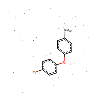 [CH2-][NH2+]c1ccc(Oc2ccc(S)cc2)cc1